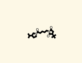 CC(C)C1CCN(C(=O)CCCCN2C(=O)CC(C(C)(C)C)C2=O)C1